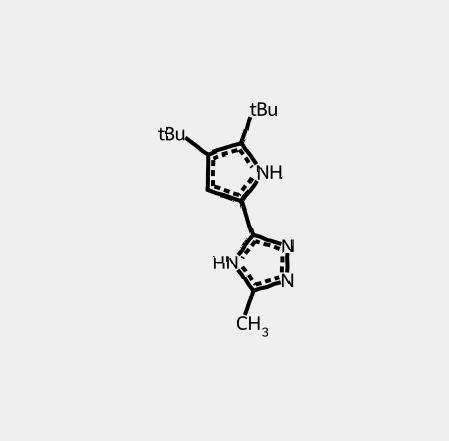 Cc1nnc(-c2cc(C(C)(C)C)c(C(C)(C)C)[nH]2)[nH]1